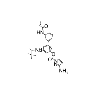 C=CC(=O)Nc1cccc(-c2cc(CNC(C)C(C)(C)C)cc(OC(=O)n3ccc(N)n3)n2)c1